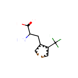 NC(Cc1cscc1C(F)(F)F)C(=O)O